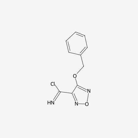 N=C(Cl)c1nonc1OCc1ccccc1